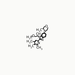 C=C1C(C)=CC(c2nc3ccc(N4CCOC[C@@H]4C)cc3n2[C@@H](C)COC)=NN1C